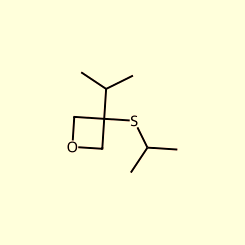 CC(C)SC1(C(C)C)COC1